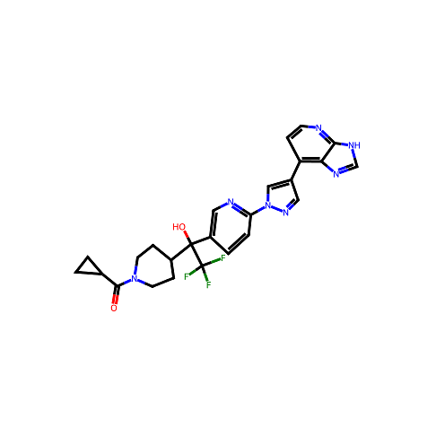 O=C(C1CC1)N1CCC(C(O)(c2ccc(-n3cc(-c4ccnc5[nH]cnc45)cn3)nc2)C(F)(F)F)CC1